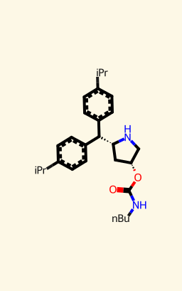 CCCCNC(=O)O[C@H]1CN[C@@H](C(c2ccc(C(C)C)cc2)c2ccc(C(C)C)cc2)C1